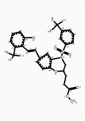 COC(=O)CCC1CN(S(=O)(=O)c2cccc(C(F)(F)F)c2)c2cc(/C=C/c3c(Cl)cccc3C(F)(F)F)ccc2O1